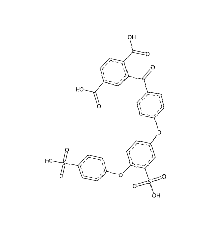 O=C(O)c1ccc(C(=O)O)c(C(=O)c2ccc(Oc3ccc(Oc4ccc(S(=O)(=O)O)cc4)c(S(=O)(=O)O)c3)cc2)c1